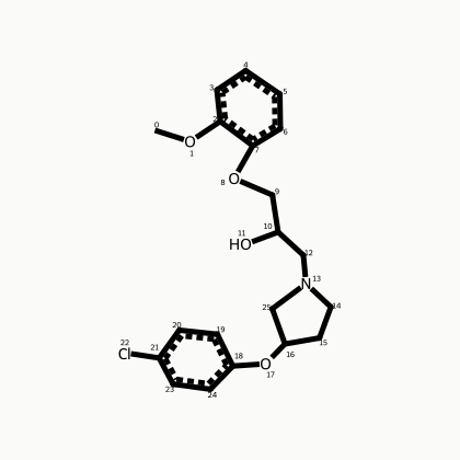 COc1ccccc1OCC(O)CN1CCC(Oc2ccc(Cl)cc2)C1